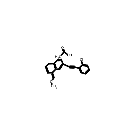 CC(=O)O.COC=C1C=CCc2ccc(C#Cc3ccccc3Cl)cc21